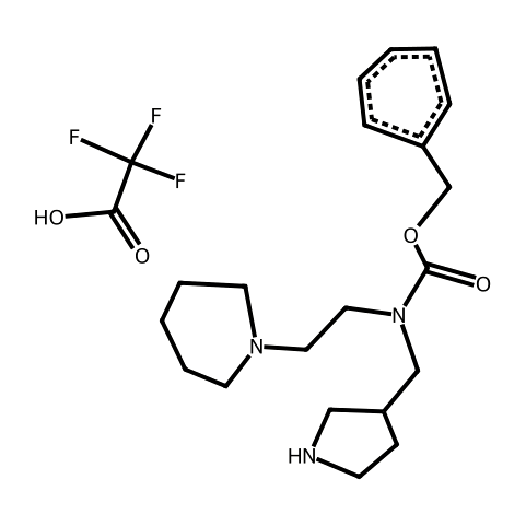 O=C(O)C(F)(F)F.O=C(OCc1ccccc1)N(CCN1CCCCC1)CC1CCNC1